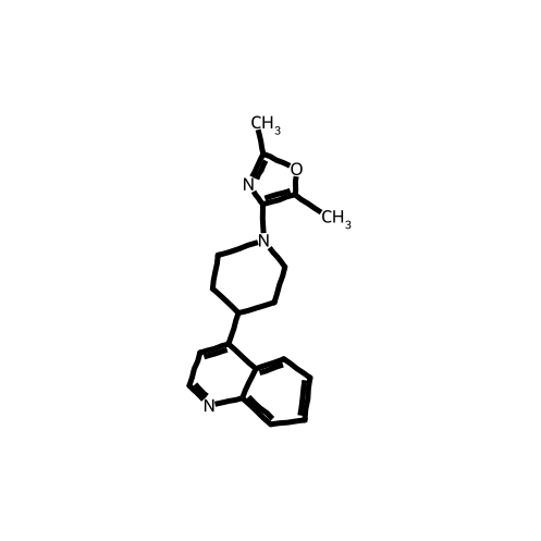 Cc1nc(N2CCC(c3ccnc4ccccc34)CC2)c(C)o1